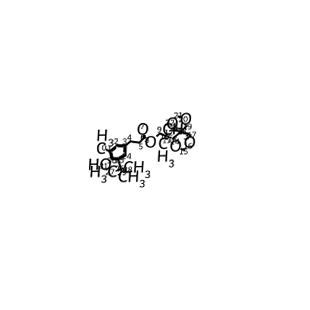 Cc1cc(CCC(=O)OCC(C)(C)[C@@H]2OCOCC23COCOC3)cc(C(C)(C)C)c1O